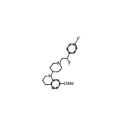 COc1ccc2c(c1)N(C1CCN(CC(F)c3ccc(F)cc3)CC1)CCC2